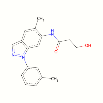 Cc1cccc(-n2ncc3cc(C)c(NC(=O)CCO)cc32)c1